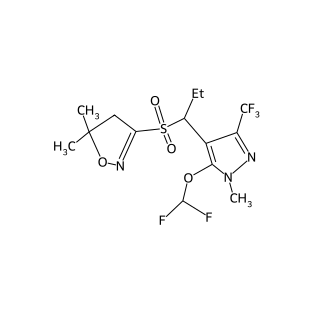 CCC(c1c(C(F)(F)F)nn(C)c1OC(F)F)S(=O)(=O)C1=NOC(C)(C)C1